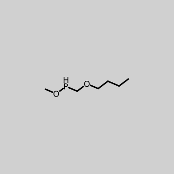 CCCCOCPOC